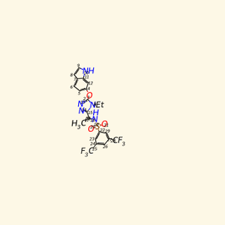 CCn1c(Oc2ccc3cc[nH]c3c2)nnc1[C@@H](C)NS(=O)(=O)c1cc(C(F)(F)F)cc(C(F)(F)F)c1